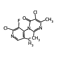 Cc1cnc(Cl)c(F)c1-n1c(C)nc(C)c(Cl)c1=O